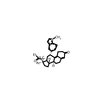 CCC(=O)O[C@]1(C(C)=O)CC[C@H]2[C@@H]3CCC4=CC(=O)CCC4=C3[C@@H](c3ccc4c(ccn4C)c3)C[C@@]21C